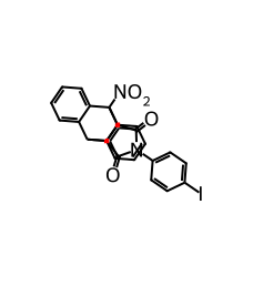 O=C1C2=C(C(=O)N1c1ccc(I)cc1)C1([N+](=O)[O-])c3ccccc3C2c2ccccc21